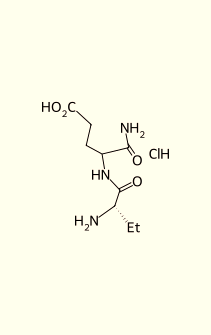 CC[C@H](N)C(=O)NC(CCC(=O)O)C(N)=O.Cl